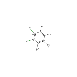 Cc1c(C)c(C#N)c(C#N)c(F)c1F